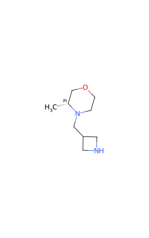 C[C@@H]1COCCN1CC1CNC1